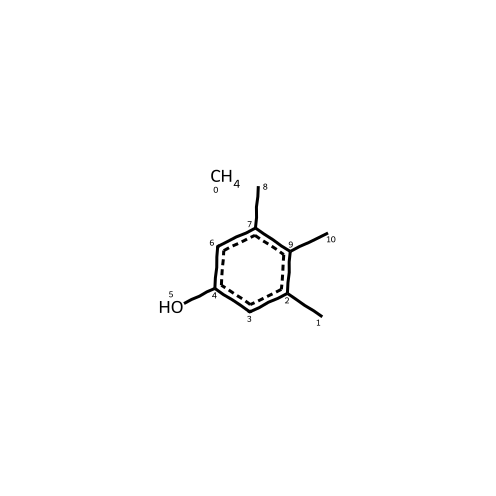 C.Cc1cc(O)cc(C)c1C